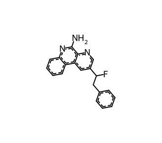 Nc1nc2ccccc2c2cc(C(F)Cc3ccccc3)cnc12